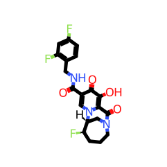 O=C(NCc1ccc(F)cc1F)c1cn2c(c(O)c1=O)C(=O)N1CCC[C@@H](F)[C@@H]2C1